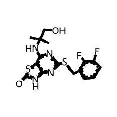 CC(C)(CO)Nc1nc(SCc2cccc(F)c2F)nc2[nH]c(=O)sc12